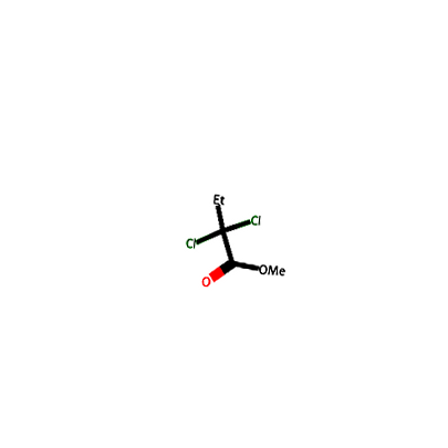 CCC(Cl)(Cl)C(=O)OC